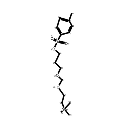 Cc1ccc(S(=O)(=O)OCCCOCOCC[Si](C)(C)C)cc1